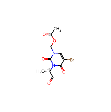 CC(=O)OCn1cc(Br)c(=O)n([C@@H](C)C=O)c1=O